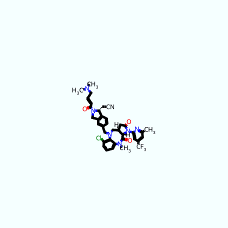 Cc1cc(C(F)(F)F)cc(N2C(=O)C[C@@H]3CN(Cc4ccc5c(c4)CN(C(=O)/C=C/CN(C)C)[C@@H]5CC#N)c4c(Cl)cccc4N(C)C(=O)[C@H]32)n1